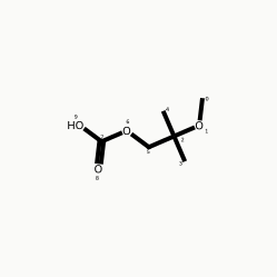 COC(C)(C)COC(=O)O